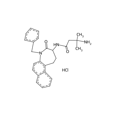 CC(C)(N)CC(=O)NC1CCc2c(ccc3ccccc23)N(Cc2ccccc2)C1=O.Cl